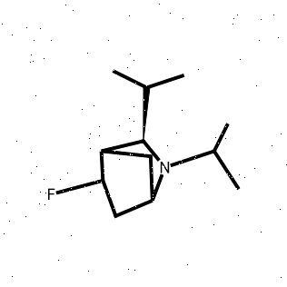 CC(C)[C@@H]1C2CC(CC2F)N1C(C)C